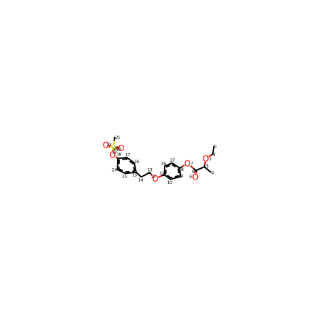 CCOC(C)C(=O)Oc1ccc(OCCc2ccc(OS(C)(=O)=O)cc2)cc1